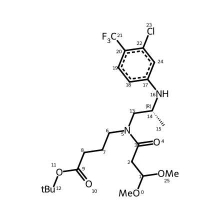 COC(CC(=O)N(CCCC(=O)OC(C)(C)C)C[C@@H](C)Nc1ccc(C(F)(F)F)c(Cl)c1)OC